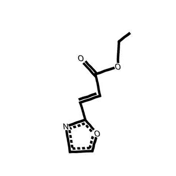 CCOC(=O)C=Cc1ncco1